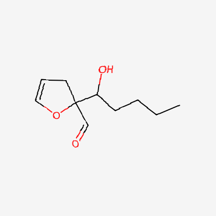 CCCCC(O)C1(C=O)CC=CO1